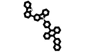 c1ccc2cc(-c3c4ccccc4c(-c4ccc(-n5c6ccccc6c6cc(-c7cccc8c7sc7ccccc78)ccc65)cc4)c4ccccc34)ccc2c1